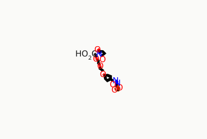 CS(=O)(=O)c1nnc(-c2ccc(OCCOCCOC(C(=O)O)N3C(=O)CCC3=O)cc2)o1